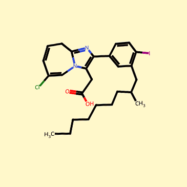 CCCCCCCC(C)Cc1cc(-c2nc3n(c2CC(=O)O)C=C(Cl)C=CC3)ccc1I